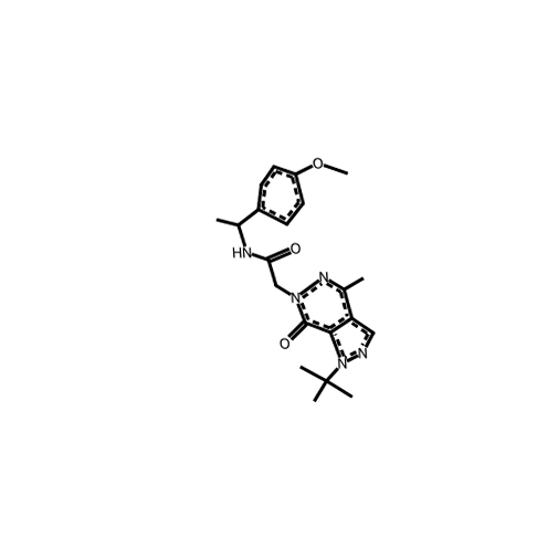 COc1ccc(C(C)NC(=O)Cn2nc(C)c3cnn(C(C)(C)C)c3c2=O)cc1